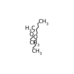 CCCCCOCCCCC.CCCOCC